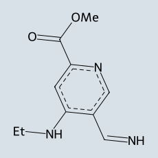 CCNc1cc(C(=O)OC)ncc1C=N